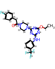 CCOc1nc(Nc2cccc(C(F)(F)F)c2)nc(N2CCN(C(=O)Cc3ccc(F)cc3)CC2)n1